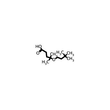 CC(C)(C)CCOC(C)(C)CCC(=O)O